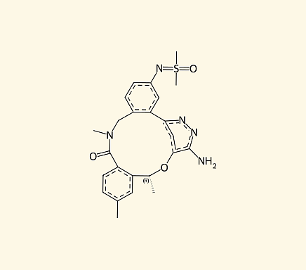 Cc1ccc2c(c1)[C@@H](C)Oc1cc(nnc1N)-c1cc(N=S(C)(C)=O)ccc1CN(C)C2=O